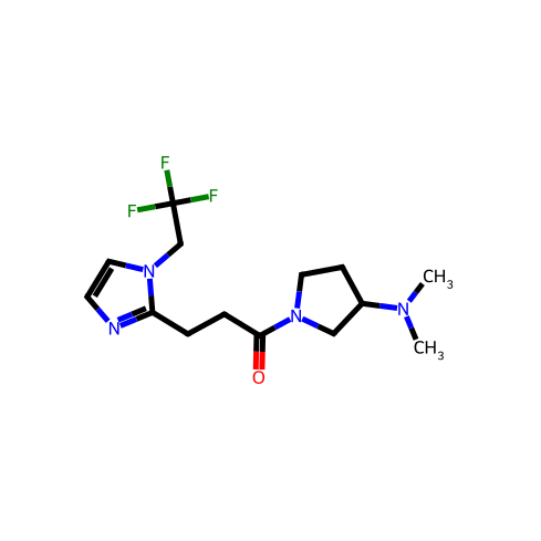 CN(C)C1CCN(C(=O)CCc2nccn2CC(F)(F)F)C1